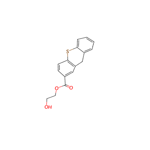 O=C(OCCO)c1ccc2c(c1)Cc1ccccc1S2